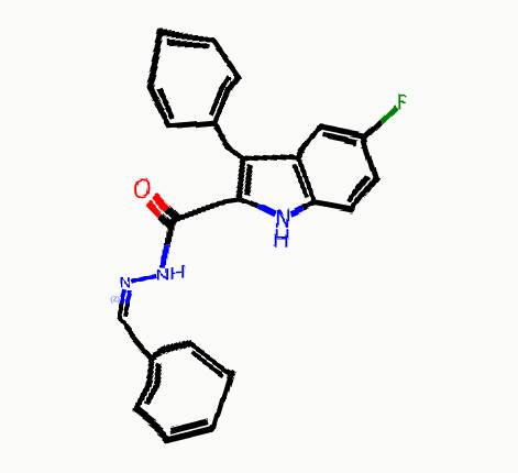 O=C(N/N=C\c1ccccc1)c1[nH]c2ccc(F)cc2c1-c1ccccc1